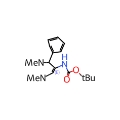 CN/C=C(/NC(=O)OC(C)(C)C)C(NC)c1ccccc1